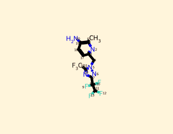 Cc1nc(Cn2nc(C(F)(F)C(F)F)nc2C(F)(F)F)ccc1N